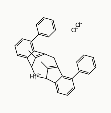 CC1=C2CC3=C(C)[CH]([Hf+2][CH]1c1cccc(-c4ccccc4)c12)c1cccc(-c2ccccc2)c13.[Cl-].[Cl-]